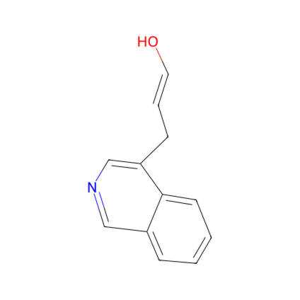 O/C=C/Cc1cncc2ccccc12